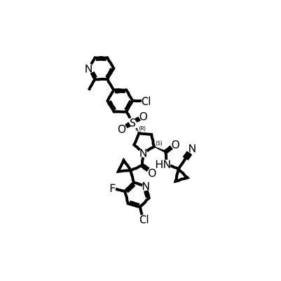 Cc1ncccc1-c1ccc(S(=O)(=O)[C@@H]2C[C@@H](C(=O)NC3(C#N)CC3)N(C(=O)C3(c4ncc(Cl)cc4F)CC3)C2)c(Cl)c1